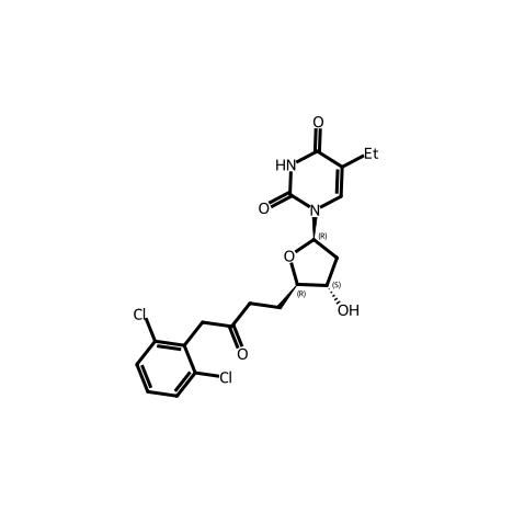 CCc1cn([C@H]2C[C@H](O)[C@@H](CCC(=O)Cc3c(Cl)cccc3Cl)O2)c(=O)[nH]c1=O